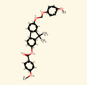 CCOc1ccc(OCOc2ccc3c(c2)C(C)(C)c2cc(OC(=O)c4ccc(OCC)cc4)ccc2-3)cc1